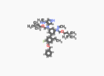 C=NN(COCC[Si](C)(C)C)C1=CC(c2cc(F)c(OCc3ccccc3)cc2CC)=CC(N(COCC[Si](C)(C)C)C2=C(NC)CNC2)C1